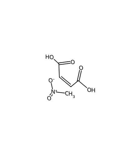 C[N+](=O)[O-].O=C(O)/C=C\C(=O)O